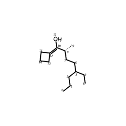 CCCC(CC)CC[C@@H](C)C(O)=C1CCC1